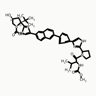 COC(=O)NC(C(=O)N1CCCC1c1nc(-c2ccc(-c3ccc4cc(-c5c[nH]c([C@@]6(C(C)(C)C)C[C@H](O)CN6C(=O)O)n5)ccc4c3)cc2)c[nH]1)C(C)C